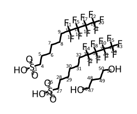 O=S(=O)(O)CCCCCCC(F)(F)C(F)(F)C(F)(F)C(F)(F)F.O=S(=O)(O)CCCCCCC(F)(F)C(F)(F)C(F)(F)C(F)(F)F.OCCCCO